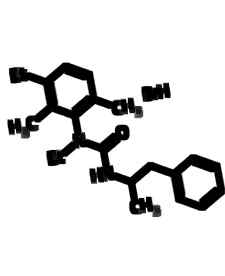 Br.CCc1ccc(C)c(N(CC)C(=O)NC(C)Cc2ccccc2)c1C